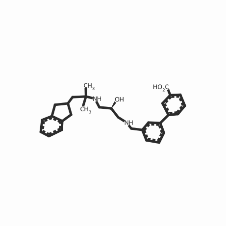 CC(C)(CC1Cc2ccccc2C1)NC[C@@H](O)CNCc1cccc(-c2cccc(C(=O)O)c2)c1